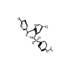 CC(C)Oc1ccc(S(=O)(=O)Nc2cc(Cl)cnc2C(=O)c2ccc(Cl)nc2)cc1